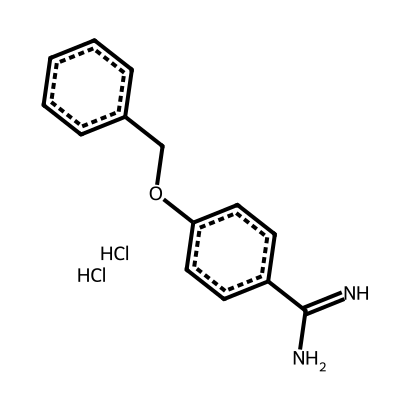 Cl.Cl.N=C(N)c1ccc(OCc2ccccc2)cc1